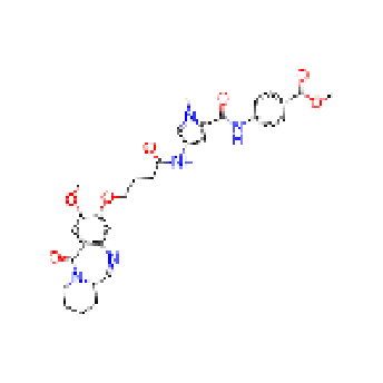 COC(=O)c1ccc(NC(=O)c2cc(NC(=O)CCCOc3cc4c(cc3OC)C(=O)N3CCCCC3C=N4)cn2C)cc1